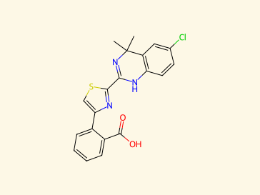 CC1(C)N=C(c2nc(-c3ccccc3C(=O)O)cs2)Nc2ccc(Cl)cc21